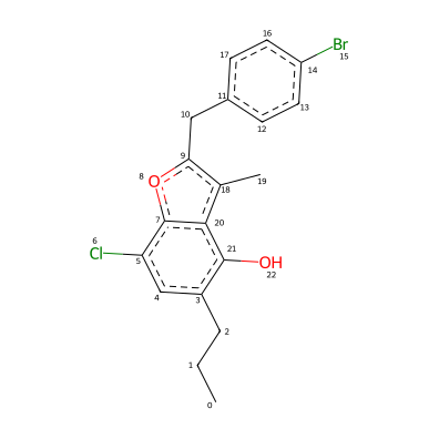 CCCc1cc(Cl)c2oc(Cc3ccc(Br)cc3)c(C)c2c1O